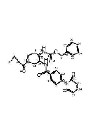 O=C(N[C@@H]1CCN(C(=O)C2CC2)C[C@@H]1NC(=O)c1ccc(-n2ccccc2=O)cc1)OCc1ccccc1